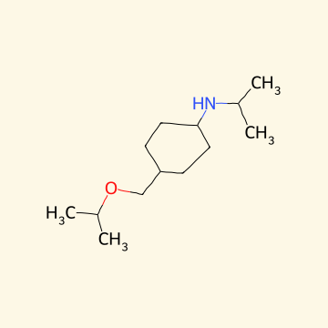 CC(C)NC1CCC(COC(C)C)CC1